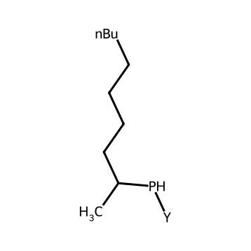 CCCCCCCCC(C)[PH][Y]